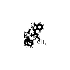 CCc1cc2c(s1)-n1c(nnc1C13CC4CC(CC(C4)C1)C3)CN=C2c1ccccc1Cl